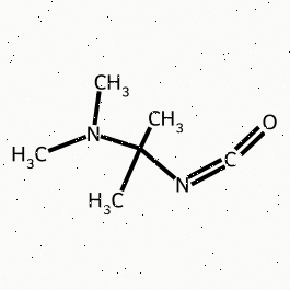 CN(C)C(C)(C)N=C=O